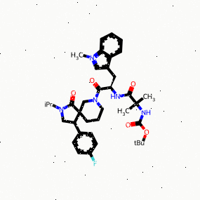 CC(C)N1CC(c2ccc(F)cc2)C2(CCCN(C(=O)[C@@H](Cc3cn(C)c4ccccc34)NC(=O)C(C)(C)NC(=O)OC(C)(C)C)C2)C1=O